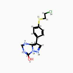 Oc1ncnc2c(-c3ccc(SCCCl)cc3)cnn12